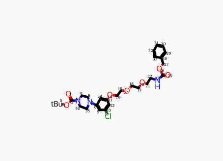 CC(C)(C)OC(=O)N1CCN(c2cc(Cl)cc(OCCOCCOCCNC(=O)OCc3ccccc3)c2)CC1